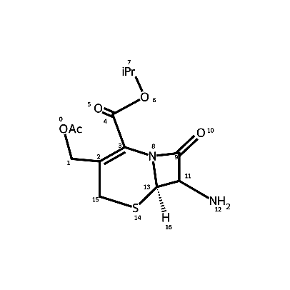 CC(=O)OCC1=C(C(=O)OC(C)C)N2C(=O)C(N)[C@H]2SC1